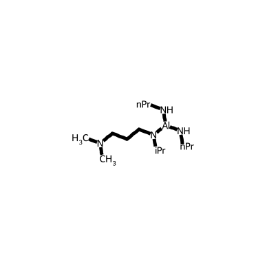 CCC[NH][Al]([NH]CCC)[N](CCCN(C)C)C(C)C